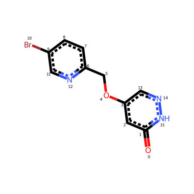 O=c1cc(OCc2ccc(Br)cn2)cn[nH]1